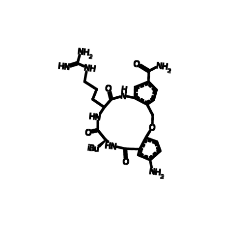 CCC(C)[C@@H]1NC(=O)c2cc(N)ccc2OCc2ccc(C(N)=O)cc2NC(=O)C(CCCNC(=N)N)NC1=O